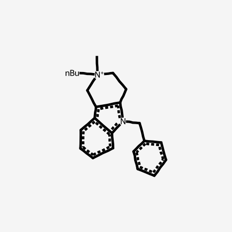 CCCC[N+]1(C)CCc2c(c3ccccc3n2Cc2ccccc2)C1